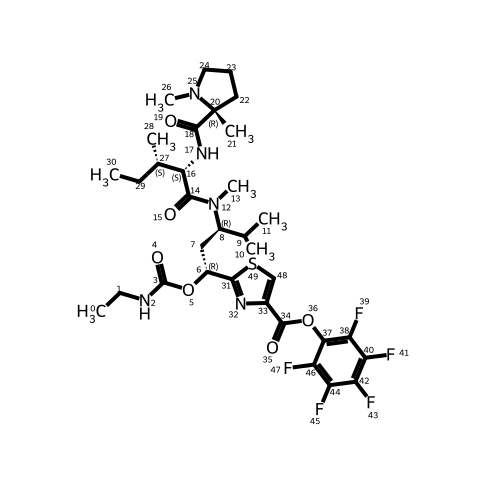 CCNC(=O)O[C@H](C[C@H](C(C)C)N(C)C(=O)[C@@H](NC(=O)[C@@]1(C)CCCN1C)[C@@H](C)CC)c1nc(C(=O)Oc2c(F)c(F)c(F)c(F)c2F)cs1